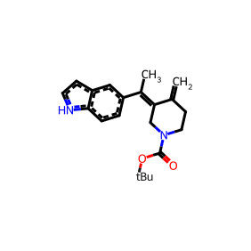 C=C1CCN(C(=O)OC(C)(C)C)C/C1=C(/C)c1ccc2[nH]ccc2c1